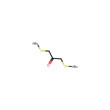 CCCCSCC(=O)CSCCCC